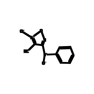 N#Cc1c([S+]([O-])c2ccccc2)no[n+]1[O-]